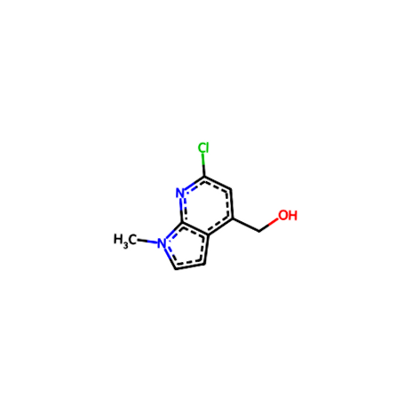 Cn1ccc2c(CO)cc(Cl)nc21